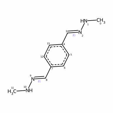 CN/N=C/c1ccc(/C=N/NC)cc1